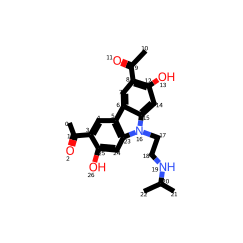 CC(=O)c1cc2c3cc(C(C)=O)c(O)cc3n(CCNC(C)C)c2cc1O